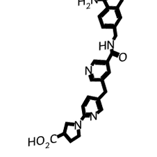 Nc1nccc2cc(CNC(=O)c3cncc(Cc4ccc(N5CCC(C(=O)O)C5)nc4)c3)ccc12